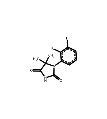 CC1(C)C(=O)NC(=O)N1c1cccc(F)c1F